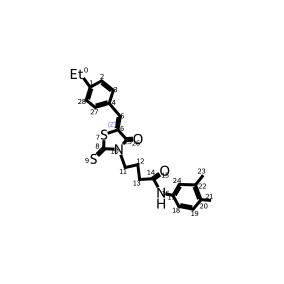 CCc1ccc(/C=C2\SC(=S)N(CCCC(=O)Nc3ccc(C)c(C)c3)C2=O)cc1